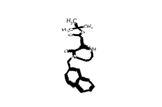 CC(C)(C)OC(=O)C1NCCN(Cc2ccc3ccccc3c2)C1=O